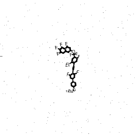 CCCCOc1ccc(-c2cc(F)c(C#Cc3cc(F)c(C(F)(F)Oc4cc(F)c5c(F)c(F)c(F)cc5c4)cc3CC)c(F)c2)cc1